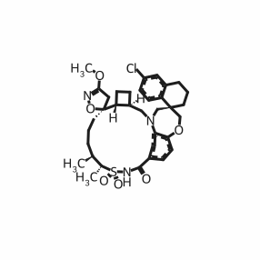 COC1=NO[C@@]2(CCC[C@H](C)[C@@H](C)S(=O)(=O)NC(=O)c3ccc4c(c3)N(C[C@@H]3CC[C@H]32)C[C@@]2(CCCc3cc(Cl)ccc32)CO4)C1